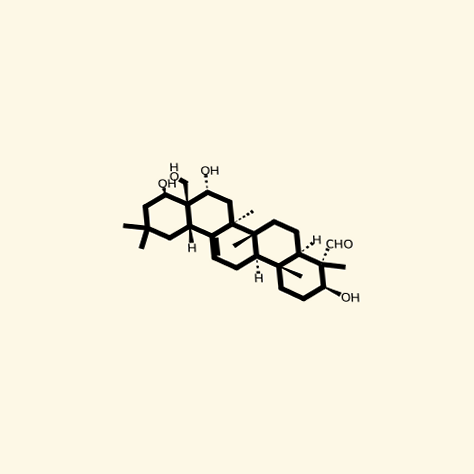 CC1(C)C[C@H](O)[C@]2(CO)[C@H](O)C[C@]3(C)C(=CC[C@@H]4[C@@]5(C)CC[C@H](O)[C@@](C)(C=O)[C@@H]5CC[C@]43C)[C@@H]2C1